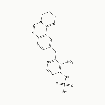 CCCS(=O)(=O)Nc1ccnc(Oc2ccc3c(c2)C2=NCCCN2C=N3)c1[N+](=O)[O-]